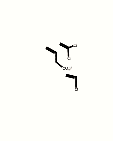 C=C(Cl)Cl.C=CCC(=O)O.C=CCl